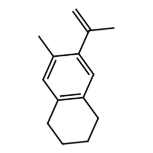 C=C(C)c1cc2c(cc1C)CCCC2